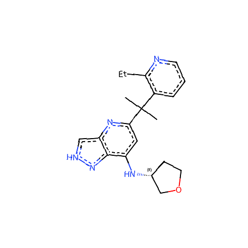 CCc1ncccc1C(C)(C)c1cc(N[C@@H]2CCOC2)c2n[nH]cc2n1